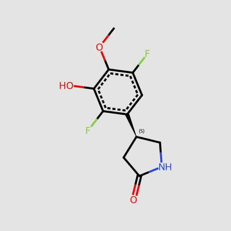 COc1c(F)cc([C@H]2CNC(=O)C2)c(F)c1O